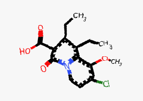 CCc1c(C(=O)O)c(=O)n2ccc(Cl)c(OC)c2c1CC